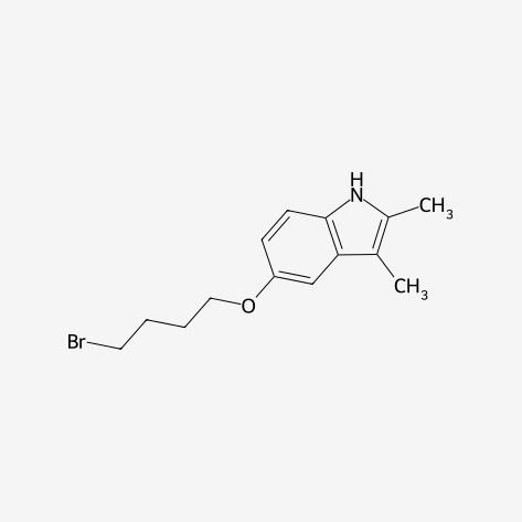 Cc1[nH]c2ccc(OCCCCBr)cc2c1C